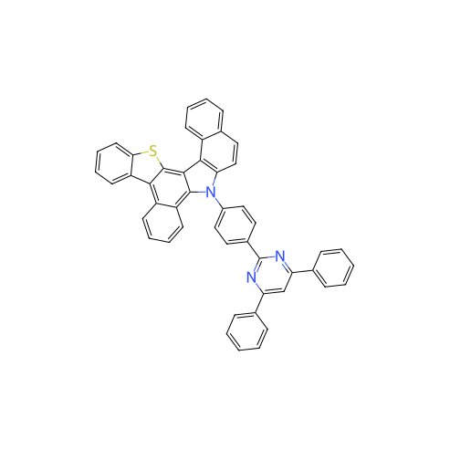 c1ccc(-c2cc(-c3ccccc3)nc(-c3ccc(-n4c5ccc6ccccc6c5c5c6sc7ccccc7c6c6ccccc6c54)cc3)n2)cc1